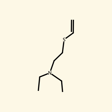 C=CSCCN(CC)CC